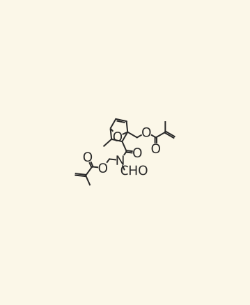 C=C(C)C(=O)OCN(C=O)C(=O)C1C(C)C2C=CC1(COC(=O)C(=C)C)O2